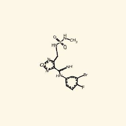 CNS(=O)(=O)NCc1nonc1C(=N)Nc1ccc(F)c(Br)c1